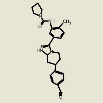 Cc1ccc(C2=NNC3CC(c4ccc(C#N)cc4)CCN23)cc1NC(=O)N1CCCC1